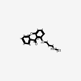 CCNCCCOc1cccc2oc3ccccc3c(=O)c12